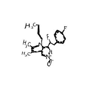 CC=CCn1c(C)c(C)c2c[n+]([O-])nc(C(F)Cc3ccc(F)cc3)c21